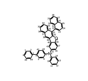 c1ccc(-c2ccc(N(c3ccccc3)c3ccc4oc5c(-c6cccc7ccccc67)c6ccccc6cc5c4c3)cc2)cc1